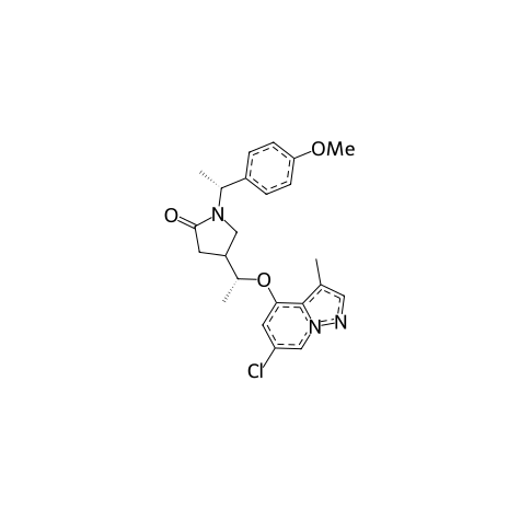 COc1ccc([C@@H](C)N2CC([C@@H](C)Oc3cc(Cl)cn4ncc(C)c34)CC2=O)cc1